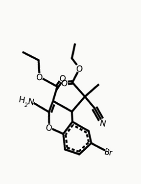 CCOC(=O)C1=C(N)Oc2ccc(Br)cc2C1C(C)(C#N)C(=O)OCC